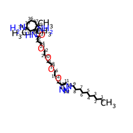 CCCCCCCCCCn1cc(COCCOCCOCCOCCC(=O)NC2(C)CC(C)(N)CCCC2(C)N)nn1